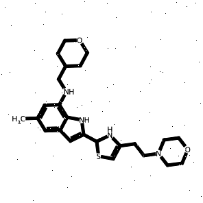 Cc1cc(NCC2CCOCC2)c2[nH]c(C3NC(CCN4CCOCC4)=CS3)cc2c1